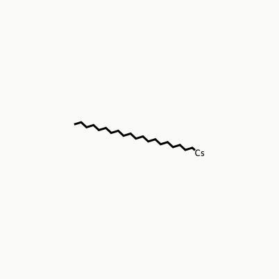 CCCCCCCCCCCCCCCCCCC[CH2][Cs]